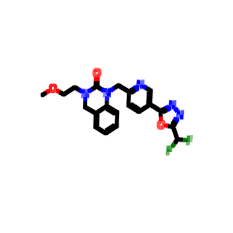 COCCN1Cc2ccccc2N(Cc2ccc(-c3nnc(C(F)F)o3)cn2)C1=O